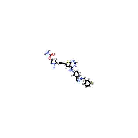 CN(C)C(=O)O[C@H]1CN[C@@H](C#Cc2cc3c(Nc4ccc5c(cnn5Cc5cccc(F)c5)c4)ncnc3s2)C1